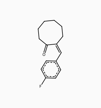 O=C1CCCCCCC1=Cc1ccc(F)cc1